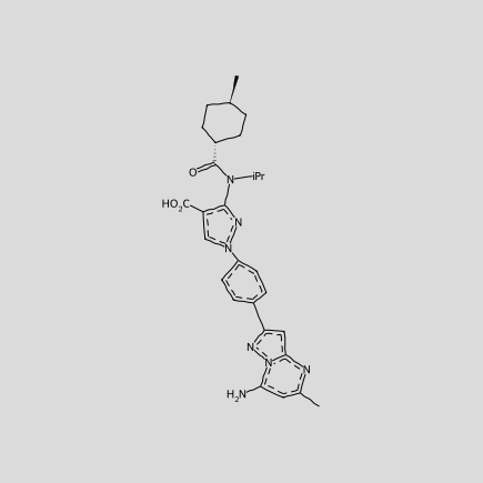 Cc1cc(N)n2nc(-c3ccc(-n4cc(C(=O)O)c(N(C(=O)[C@H]5CC[C@H](C)CC5)C(C)C)n4)cc3)cc2n1